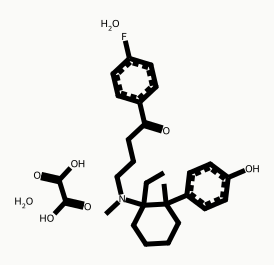 CCC1(N(C)CCCC(=O)c2ccc(F)cc2)CCCCC1(C)c1ccc(O)cc1.O.O.O=C(O)C(=O)O